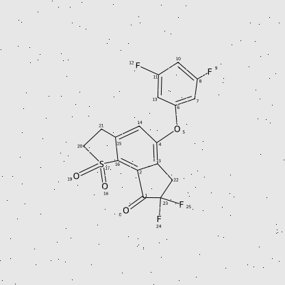 O=C1c2c(c(Oc3cc(F)cc(F)c3)cc3c2S(=O)(=O)CC3)CC1(F)F